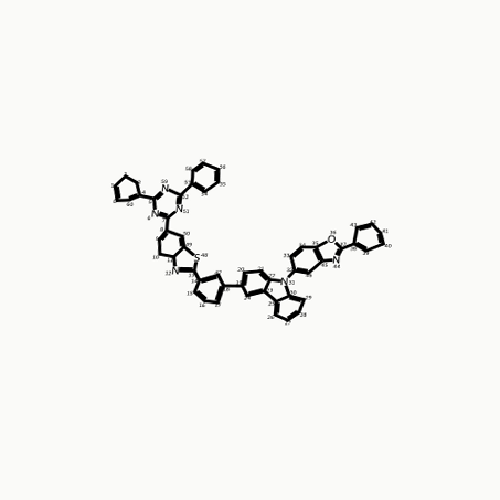 C1=CCCC(c2nc(C3=CCC4N=C(c5cccc(-c6ccc7c(c6)c6ccccc6n7-c6ccc7oc(-c8ccccc8)nc7c6)c5)SC4=C3)nc(-c3ccccc3)n2)=C1